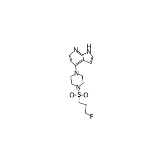 O=S(=O)(CCCF)N1CCN(c2ccnc3[nH]ccc23)CC1